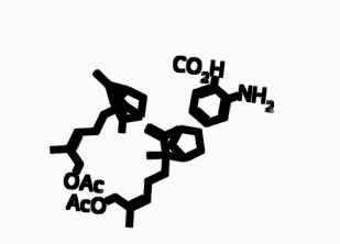 C=C1C2CCC(C2)C1(C)CCC=C(C)COC(C)=O.CC(=O)OCC(C)=CCCC1(C)C2CC3C(C2)C31C.Nc1ccccc1C(=O)O